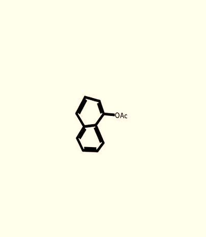 CC(=O)Oc1cccc2ccccc12